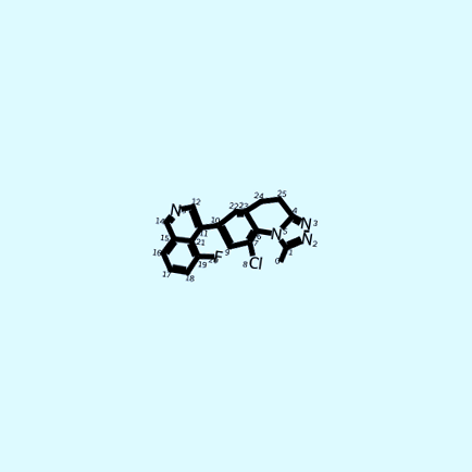 Cc1nnc2n1-c1c(Cl)cc(-c3cncc4cccc(F)c34)cc1CC2